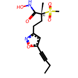 CCC#Cc1cc(CC[C@](C)(C(=O)NO)S(C)(=O)=O)no1